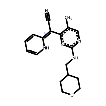 Cc1cnc(NCC2CCOCC2)nc1/C(C#N)=C1/C=CC=CN1